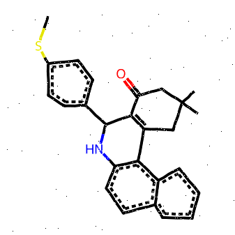 CSc1ccc(C2Nc3ccc4ccccc4c3C3=C2C(=O)CC(C)(C)C3)cc1